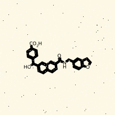 O=C(O)c1ccc(C(O)c2ccc3ccc(C(=O)NCc4ccc5c(c4)CCO5)cc3c2)cc1